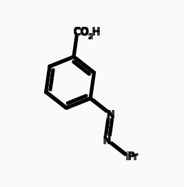 CC(C)/N=N/c1cccc(C(=O)O)c1